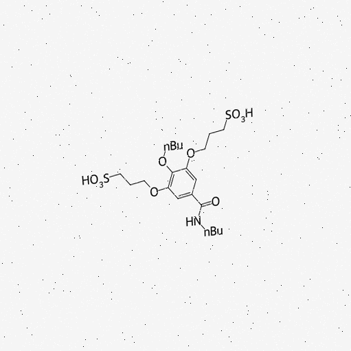 CCCCNC(=O)c1cc(OCCCS(=O)(=O)O)c(OCCCC)c(OCCCS(=O)(=O)O)c1